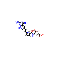 Nc1nc(N)c2c(n1)NCC(CCc1cccc(C(=O)N[C@@H](CCC(=O)O)C(=O)O)n1)C2